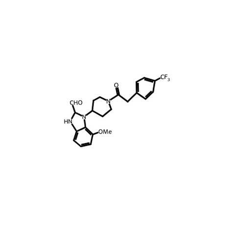 COc1cccc2c1N(C1CCN(C(=O)Cc3ccc(C(F)(F)F)cc3)CC1)C(C=O)N2